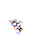 CCC1CC(C)(C)C(=O)NC(=O)C1N1C(=O)c2csc(N)c2C1=O